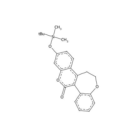 CC(C)(C)[Si](C)(C)Oc1ccc2c3c(c(=O)oc2c1)-c1ccccc1OCC3